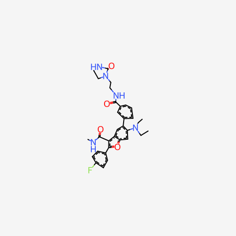 CCN(CC)c1cc2oc(-c3ccc(F)cc3)c(C(=O)NC)c2cc1-c1cccc(C(=O)NCCN2CCNC2=O)c1